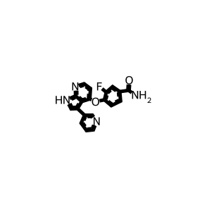 NC(=O)c1ccc(Oc2ccnc3[nH]cc(-c4cccnc4)c23)c(F)c1